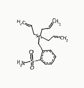 C=C[CH2][Sn]([CH2]C=C)([CH2]C=C)[CH2]c1ccccc1S(N)(=O)=O